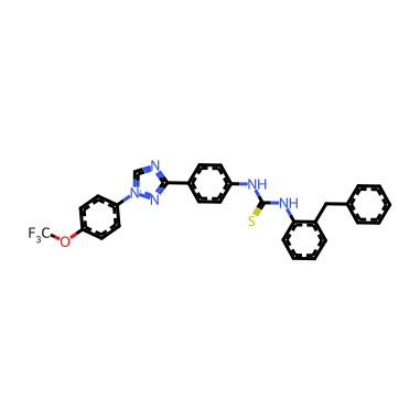 FC(F)(F)Oc1ccc(-n2cnc(-c3ccc(NC(=S)Nc4ccccc4Cc4ccccc4)cc3)n2)cc1